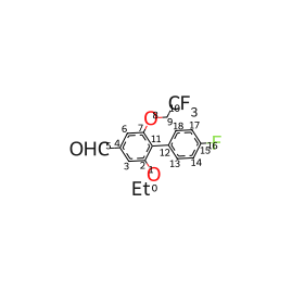 CCOc1cc(C=O)cc(OCC(F)(F)F)c1-c1ccc(F)cc1